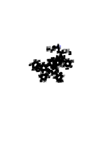 C/C=C\C[C@H](C)c1nc(-c2ccccc2)nc(-c2ccc(-c3cc4c5ccccc5oc4c4c5ccccc5n(-c5cc(-c6ccccc6)nc(-c6ccccc6)n5)c34)cc2)n1